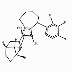 CC(C)(C)OC(O)N1C[C@H]2CC[C@@H](C1)[C@@H]2Nc1nc2n(n1)CCCCC2c1ccc(F)c(F)c1F